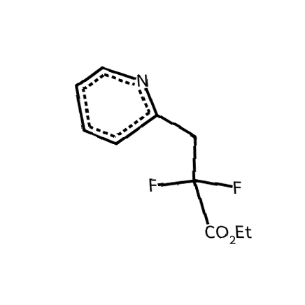 CCOC(=O)C(F)(F)Cc1ccccn1